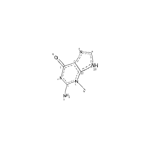 Cn1c(N)nc(=O)c2nc[nH]c21